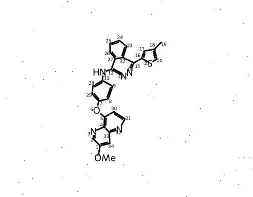 COc1cnc2c(Oc3ccc(Nc4nnc(-c5cc(C)cs5)c5ccccc45)cc3)ccnc2c1